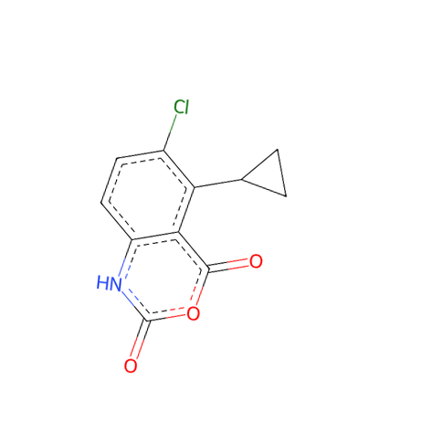 O=c1[nH]c2ccc(Cl)c(C3CC3)c2c(=O)o1